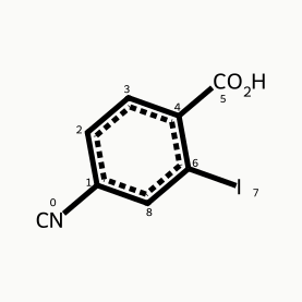 [C-]#[N+]c1ccc(C(=O)O)c(I)c1